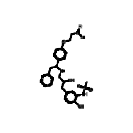 CCN(CC)CCOc1ccc(C(Cc2ccccc2)NCC(O)Cc2ccc(O)c(NS(C)(=O)=O)c2)cc1